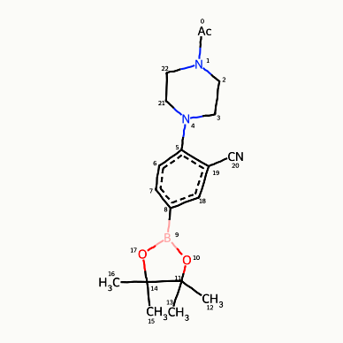 CC(=O)N1CCN(c2ccc(B3OC(C)(C)C(C)(C)O3)cc2C#N)CC1